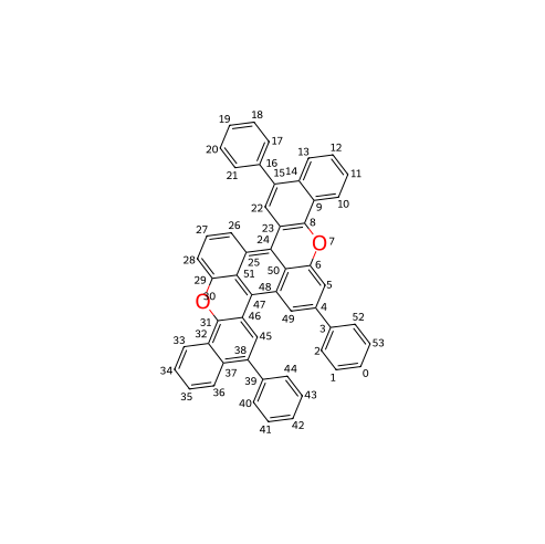 c1ccc(-c2cc3oc4c5ccccc5c(-c5ccccc5)cc4c4c5cccc6oc7c8ccccc8c(-c8ccccc8)cc7c(c(c2)c34)c65)cc1